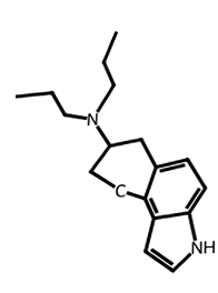 CCCN(CCC)C1CCc2c(ccc3[nH]ccc23)C1